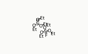 CCO[SiH](OCC)OCC.CCO[Si](F)(OCC)OCC